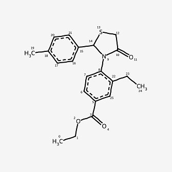 CCOC(=O)c1ccc(N2C(=O)CSC2c2ccc(C)cc2)c(CC)c1